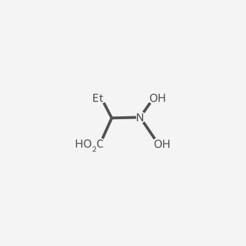 CCC(C(=O)O)N(O)O